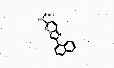 CCCCCNc1ccc2nc(-c3cccc4ccccc34)cn2n1